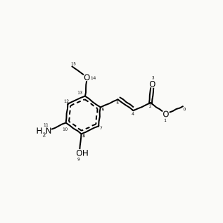 COC(=O)C=Cc1cc(O)c(N)cc1OC